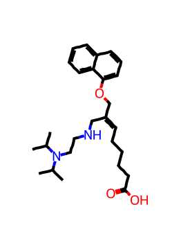 CC(C)N(CCNC/C(=C\CCCCC(=O)O)COc1cccc2ccccc12)C(C)C